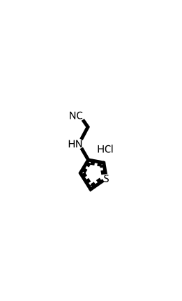 Cl.N#CCNc1ccsc1